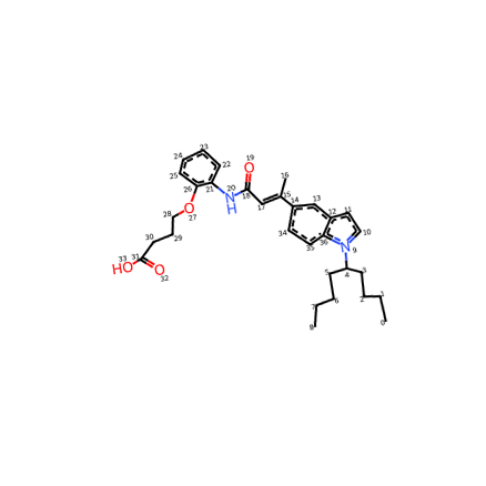 CCCCC(CCCC)n1ccc2cc(C(C)=CC(=O)Nc3ccccc3OCCCC(=O)O)ccc21